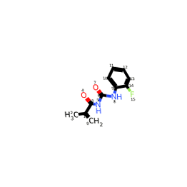 C=C(C)C(=O)NC(=O)Nc1ccccc1F